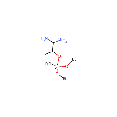 CCC[Si](OCC)(OCC)OC(C)C(N)N